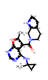 Cc1oc2ncnc(NC3(C)CC3)c2c1C(=O)N1CCc2cccnc2C1